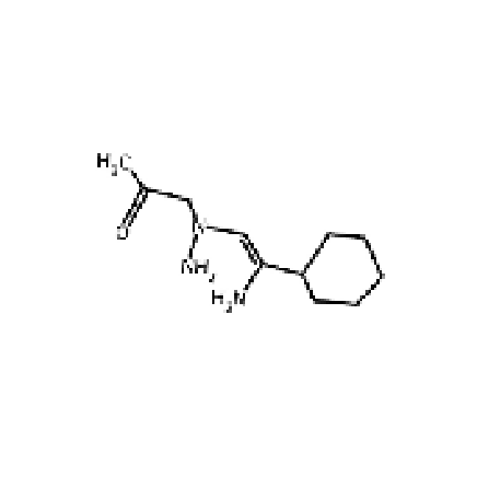 CC(=O)CN(N)/C=C(\N)C1CCCCC1